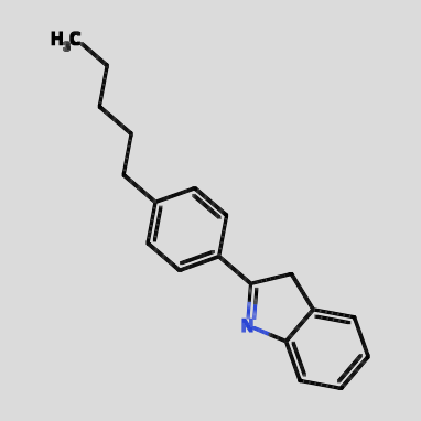 CCCCCc1ccc(C2=Nc3ccccc3C2)cc1